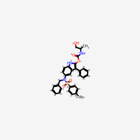 CC(CO)NC(=O)Oc1[nH]c2ccc(N(Cc3ccccc3)S(=O)(=O)c3ccc(C(C)(C)C)cc3)cc2c1-c1ccccc1